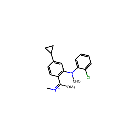 C/N=C(/OC)c1ccc(C2CC2)cc1N(C=O)c1ccccc1Cl